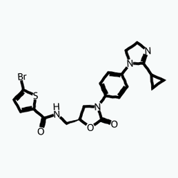 O=C(NC[C@H]1CN(c2ccc(N3CCN=C3C3CC3)cc2)C(=O)O1)c1ccc(Br)s1